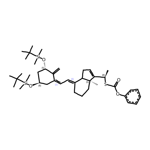 C=C1/C(=C\C=C2/CCC[C@]3(C)C([C@@H](C)SC(=O)Oc4ccccc4)=CCC23)C[C@@H](O[Si](C)(C)C(C)(C)C)C[C@@H]1O[Si](C)(C)C(C)(C)C